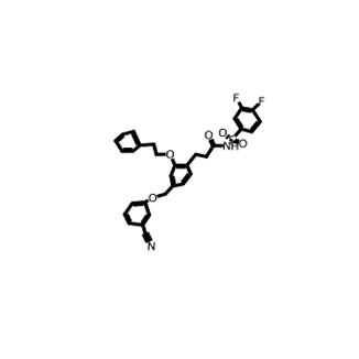 N#Cc1cccc(OCc2ccc(CCC(=O)NS(=O)(=O)c3ccc(F)c(F)c3)c(OCCc3ccccc3)c2)c1